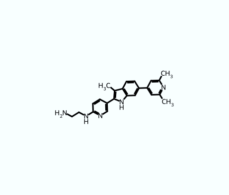 Cc1cc(-c2ccc3c(C)c(-c4ccc(NCCN)nc4)[nH]c3c2)cc(C)n1